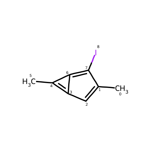 Cc1cc2c(C)c-2c1I